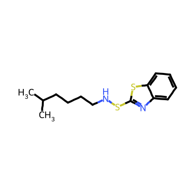 CC(C)CCCCNSc1nc2ccccc2s1